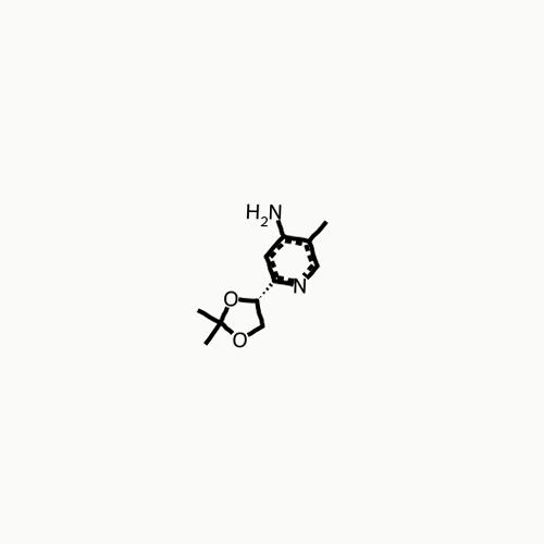 Cc1cnc([C@@H]2COC(C)(C)O2)cc1N